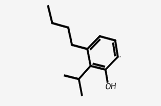 CCCCc1cc[c]c(O)c1C(C)C